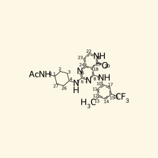 CC(=O)NC1CCC(Nc2nc(Nc3cc(C)cc(C(F)(F)F)c3)c3c(=O)[nH]ccc3n2)CC1